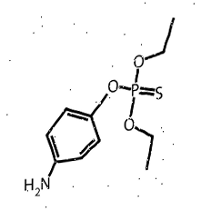 CCOP(=S)(OCC)Oc1ccc(N)cc1